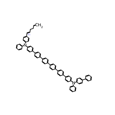 C=CCC/C=C/c1ccc(N(c2ccccc2)c2ccc(-c3ccc(-c4ccc(-c5ccc(-c6ccc(-c7ccc(N(c8ccccc8)c8ccc(-c9ccccc9)cc8)cc7)cc6)cc5)cc4)cc3)cc2)cc1